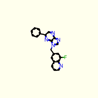 Fc1cc(Cn2cnc3ncc(-c4ccccc4)nc32)cc2cccnc12